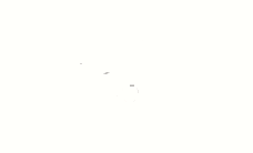 O=C/C=C/c1nnn(C2CCCCC2)c1CCCCl